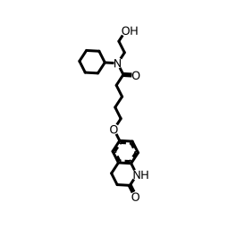 O=C1CCc2cc(OCCCCC(=O)N(CCO)C3CCCCC3)ccc2N1